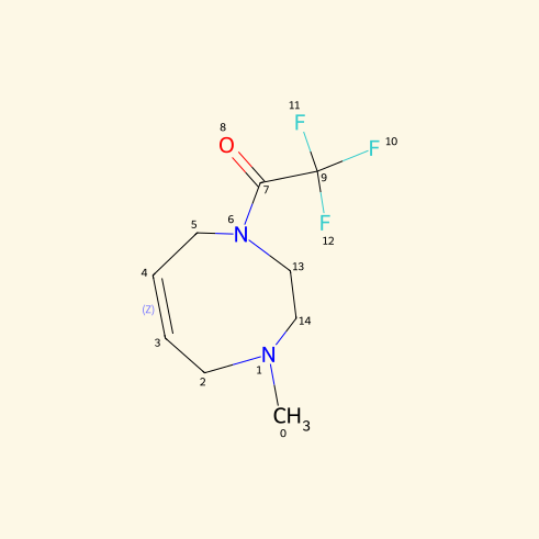 CN1C/C=C\CN(C(=O)C(F)(F)F)CC1